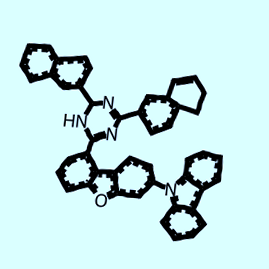 C1=Cc2cc(C3=NC(c4ccc5ccccc5c4)NC(c4cccc5oc6cc(-n7c8ccccc8c8ccccc87)ccc6c45)=N3)ccc2CC1